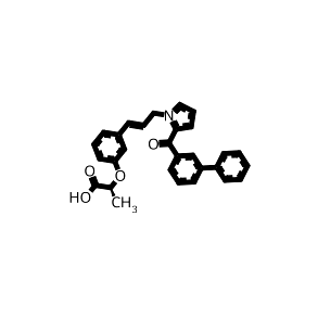 C[C@H](Oc1cccc(/C=C/Cn2cccc2C(=O)c2cccc(-c3ccccc3)c2)c1)C(=O)O